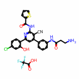 N#Cc1c(-c2cccc(NC(=O)CCN)c2)cc(-c2ccc(Cl)cc2O)nc1NC(=O)c1cccs1.O=C(O)C(F)(F)F